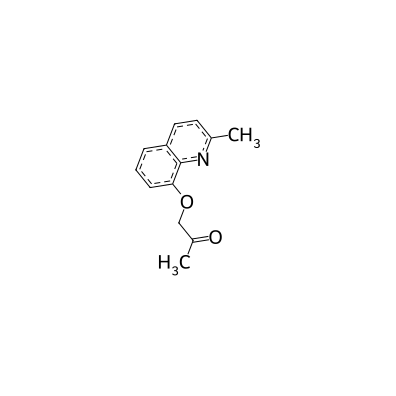 CC(=O)COc1cccc2ccc(C)nc12